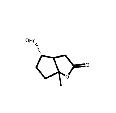 CC12CC[C@H](C=O)C1CC(=O)O2